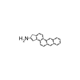 NC1=Cc2c(ccc3c2ccc2cc4ccccc4cc23)C1